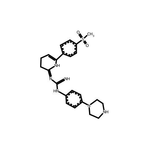 CS(=O)(=O)c1ccc(C2=CCC/C(=N/C(=N)Nc3ccc(N4CCNCC4)cc3)N2)cc1